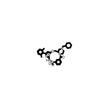 Cc1cccc(C)c1-c1cc2nc(n1)NS(=O)(=O)c1cccc(c1)C(=O)N1CCN(CC3CCCCC3)CC1CO2